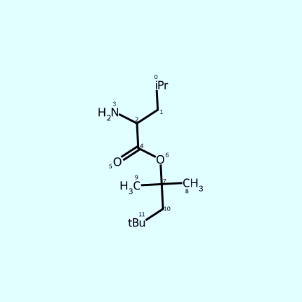 CC(C)CC(N)C(=O)OC(C)(C)CC(C)(C)C